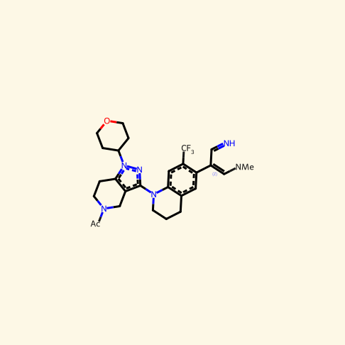 CN/C=C(\C=N)c1cc2c(cc1C(F)(F)F)N(c1nn(C3CCOCC3)c3c1CN(C(C)=O)CC3)CCC2